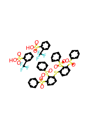 O=S(=O)(O)c1ccccc1C(F)(F)F.O=S(=O)(O)c1ccccc1C(F)(F)F.O=S(=O)(c1ccccc1)c1cccc(Sc2cccc(S(=O)(=O)c3ccccc3)c2S(=O)(=O)c2ccccc2)c1S(=O)(=O)c1ccccc1